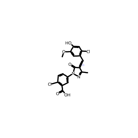 COc1cc(/C=C2\C(=O)N(c3ccc(Cl)c(C(=O)O)c3)N=C2C)c(Cl)cc1O